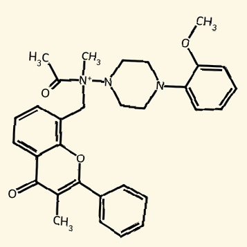 COc1ccccc1N1CCN([N+](C)(Cc2cccc3c(=O)c(C)c(-c4ccccc4)oc23)C(C)=O)CC1